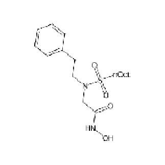 CCCCCCCCS(=O)(=O)N(CCc1ccccc1)CC(=O)NO